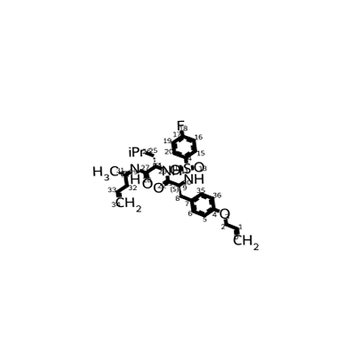 C=CCOc1ccc(C[C@H](NS(=O)(=O)c2ccc(F)cc2)C(=O)N[C@@H](CC(C)C)C(=O)N[C@H](C)CC=C)cc1